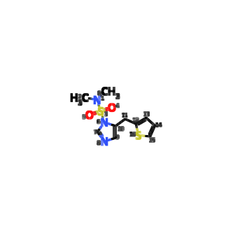 CN(C)S(=O)(=O)n1cncc1Cc1cccs1